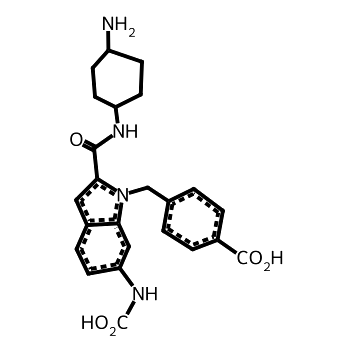 NC1CCC(NC(=O)c2cc3ccc(NC(=O)O)cc3n2Cc2ccc(C(=O)O)cc2)CC1